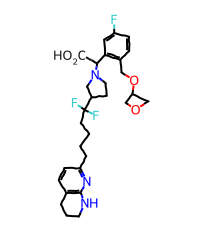 O=C(O)C(c1cc(F)ccc1COC1COC1)N1CCC(C(F)(F)CCCCc2ccc3c(n2)NCCC3)C1